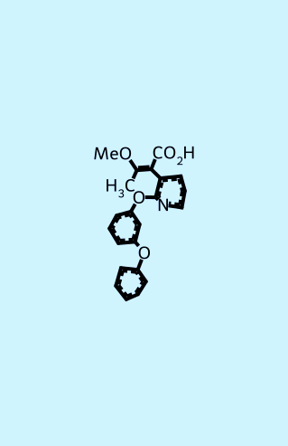 COC(C)=C(C(=O)O)c1cccnc1Oc1cccc(Oc2ccccc2)c1